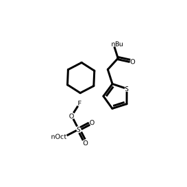 C1CCCCC1.CCCCC(=O)Cc1cccs1.CCCCCCCCS(=O)(=O)OF